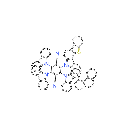 N#Cc1c(-n2c3ccccc3c3ccccc32)c(-n2c3ccccc3c3ccccc32)c(C#N)c(-n2c3cc(-c4cccc5ccc6ccccc6c45)ccc3c3c4sc5ccccc5c4ccc32)c1-n1c2ccccc2c2ccccc21